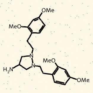 COc1ccc(CCN2CC(N)CN2CCc2ccc(OC)cc2OC)c(OC)c1